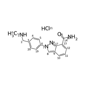 CNCc1ccc(-n2cc3cccc(C(N)=O)c3n2)cc1.Cl